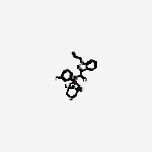 C=CCn1nc(C(=O)N[C@H]2C[C@H]3COC[C@@H](C2)N3Cc2cccc(F)c2)c2ccccc21